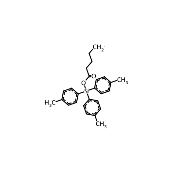 [CH2]CCCC(=O)O[Si](c1ccc(C)cc1)(c1ccc(C)cc1)c1ccc(C)cc1